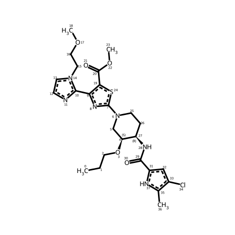 CCCO[C@H]1CN(c2nc(-c3nccn3CCOC)c(C(=O)OC)s2)CC[C@H]1NC(=O)c1cc(Cl)c(C)[nH]1